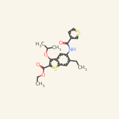 CCOC(=O)c1sc2cc(CC)c(NC(=O)c3ccsc3)cc2c1OC(C)C